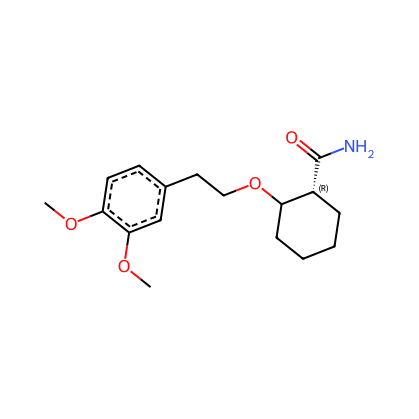 COc1ccc(CCOC2CCCC[C@H]2C(N)=O)cc1OC